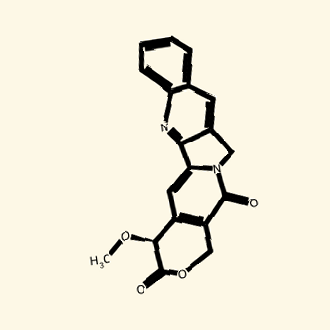 CO[C@@H]1C(=O)OCc2c1cc1n(c2=O)Cc2cc3ccccc3nc2-1